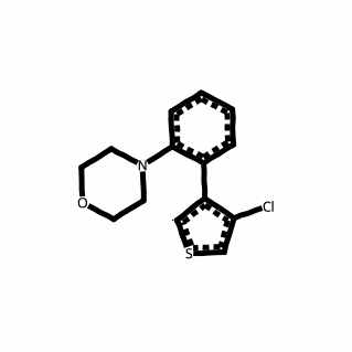 Clc1cs[c]c1-c1ccccc1N1CCOCC1